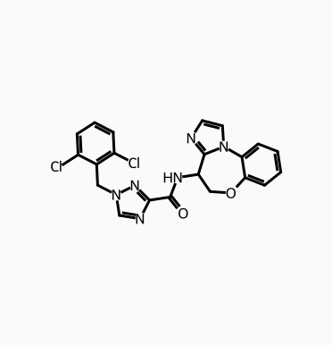 O=C(NC1COc2ccccc2-n2ccnc21)c1ncn(Cc2c(Cl)cccc2Cl)n1